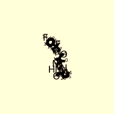 Cc1c(C(=O)N2CCC(F)(c3ccc(F)cc3)C2)cnn1-c1nn2cccc2c(=O)[nH]1